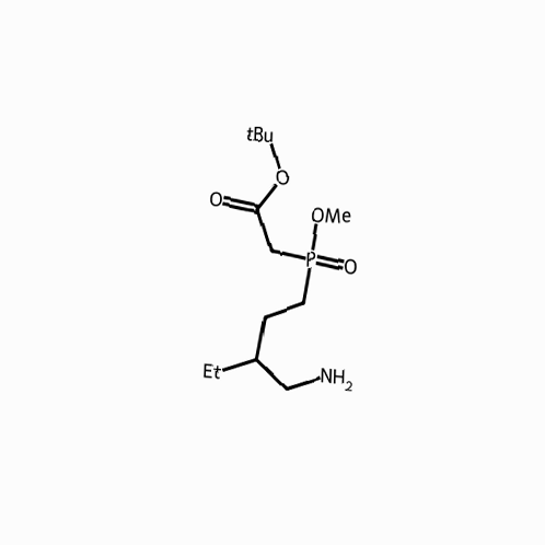 CCC(CN)CCP(=O)(CC(=O)OC(C)(C)C)OC